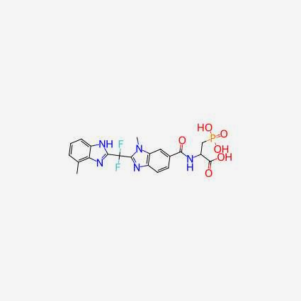 Cc1cccc2[nH]c(C(F)(F)c3nc4ccc(C(=O)NC(CP(=O)(O)O)C(=O)O)cc4n3C)nc12